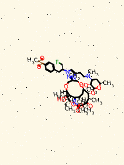 C=C1CO[C@@H]2[C@@H](C)/C(=N/C(C)=O)[C@H](C)C[C@@](C)(OC1)[C@H](O[C@@H]1O[C@H](C)C[C@H](N(C)CCc3cn([C@H](CF)Cc4ccc(S(C)(=O)=O)cc4)nn3)[C@H]1O)[C@@H](C)C(=O)[C@@H](C)C(=O)O[C@H](CC)[C@@]2(C)O